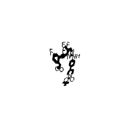 COC(=O)Cc1ccc(F)cc1C#Cc1nc(Nc2ccc(C3CCN(C(=O)OC(C)(C)C)CC3)cc2)ncc1C(F)(F)F